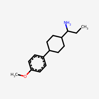 CCC(N)C1CCC(c2ccc(OC)cc2)CC1